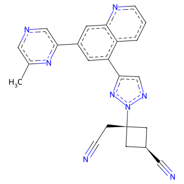 Cc1cncc(-c2cc(-c3cnn([C@]4(CC#N)C[C@@H](C#N)C4)n3)c3cccnc3c2)n1